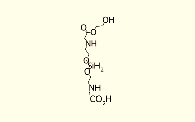 O=C(O)CNCCO[SiH2]OCCNCC(=O)OCCO